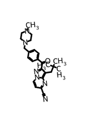 CN1CCN(Cc2ccc(C(=O)c3nn4ccc(C#N)nc4c3CC(C)(C)C)cc2)CC1